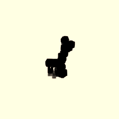 CC1(C)c2ccccc2-c2ccc(N(c3ccc(-c4ccccc4)cc3)c3ccc4c(c3)sc3cc(-c5ccc6c7c5ccc5cccc(c57)n6-c5ccccc5)ccc34)cc21